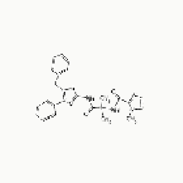 Cn1ccnc1C(=O)NC(C)(C)C(=O)Nc1nc(-c2ccccc2)c(Cc2ccccc2)s1